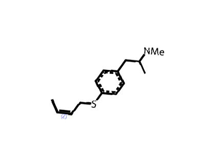 C/C=C\CSc1ccc(CC(C)NC)cc1